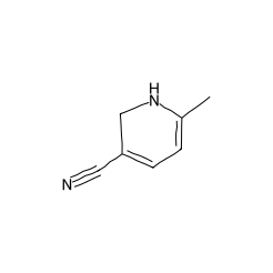 CC1=CC=C(C#N)CN1